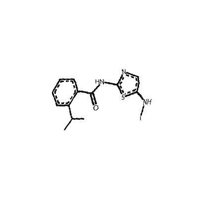 CC(C)c1ccccc1C(=O)Nc1ncc(NI)s1